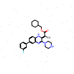 N#CC(C(=O)OCC1CCCCC1)=C1Nc2ccc(-c3cccc(F)c3)cc2N=C1N1CCNCC1